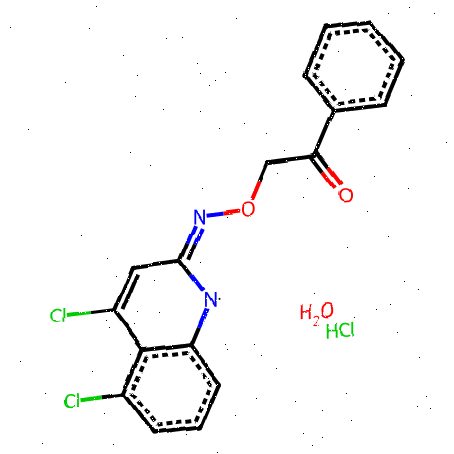 Cl.O.O=C(CON=C1C=C(Cl)c2c(Cl)cccc2[N]1)c1ccccc1